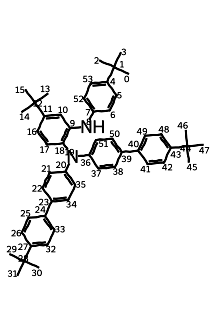 CC(C)(C)c1ccc(Nc2cc(C(C)(C)C)ccc2N(c2ccc(-c3ccc(C(C)(C)C)cc3)cc2)c2ccc(-c3ccc(C(C)(C)C)cc3)cc2)cc1